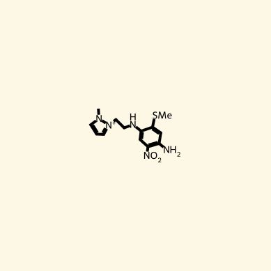 CSc1cc(N)c([N+](=O)[O-])cc1NCC[n+]1cccn1C